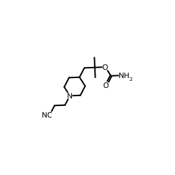 CC(C)(CC1CCN(CCC#N)CC1)OC(N)=O